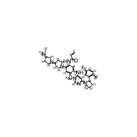 C=CC(=O)Nc1cc(Nc2cc(N3OCC[C@@H]3c3cc(F)ccc3F)ncn2)c(OC)cc1N1CCC(N2CCC(N(C)C)C2)CC1